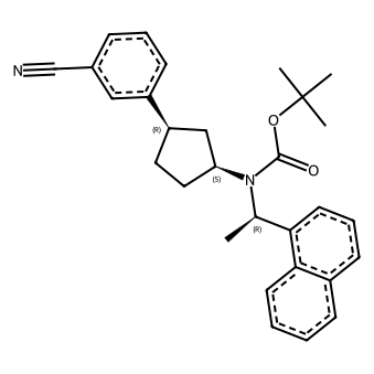 C[C@H](c1cccc2ccccc12)N(C(=O)OC(C)(C)C)[C@H]1CC[C@@H](c2cccc(C#N)c2)C1